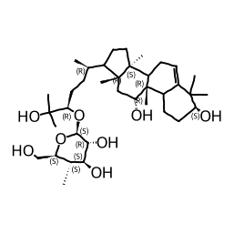 C[C@H]1[C@H](O)[C@@H](O)[C@H](O[C@H](CC[C@@H](C)C2CC[C@@]3(C)C4CC=C5C(CC[C@H](O)C5(C)C)[C@]4(C)[C@H](O)C[C@]23C)C(C)(C)O)O[C@@H]1CO